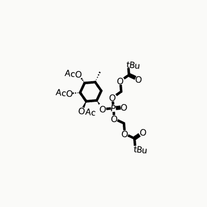 CC(=O)O[C@@H]1[C@H](OC(C)=O)[C@H](C)C[C@H](OP(=O)(OCOC(=O)C(C)(C)C)OCOC(=O)C(C)(C)C)[C@H]1OC(C)=O